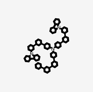 c1ccc(-c2cccc(-c3cccc(-c4ccc(N(c5ccc(-c6cccc(-c7cccc(-n8c9ccccc9c9ccccc98)c7)c6)cc5)c5ccc(-c6cccc(-c7cccc(-n8c9ccccc9c9ccccc98)c7)c6)cc5)cc4)c3)c2)cc1